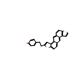 CCCOc1ccc(CCc2cc3c(ccc4cc5c(ccc6sccc65)cc43)s2)cc1